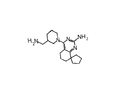 NCC1CCCN(c2nc(N)nc3c2CCCC32CCCC2)C1